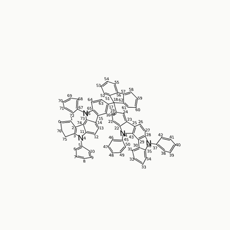 C1=Cc2c(n(-c3ccccc3)c3ccc4c5cc(C6(c7ccc8c(c7)c7ccc9c(c%10ccccc%10n9-c9ccccc9)c7n8-c7ccccc7)c7ccccc7-c7ccccc76)ccc5n(-c5ccccc5)c4c23)CC1